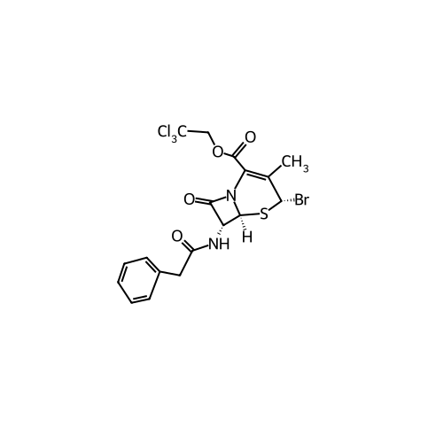 CC1=C(C(=O)OCC(Cl)(Cl)Cl)N2C(=O)[C@@H](NC(=O)Cc3ccccc3)[C@@H]2S[C@H]1Br